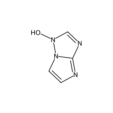 On1cnc2nccn21